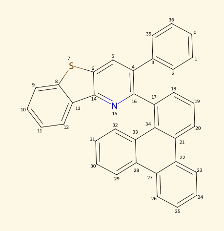 c1ccc(-c2cc3sc4ccccc4c3nc2-c2cccc3c4ccccc4c4ccccc4c23)cc1